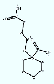 O=C(O)CCCCC1(C(=O)O)CCCCC1